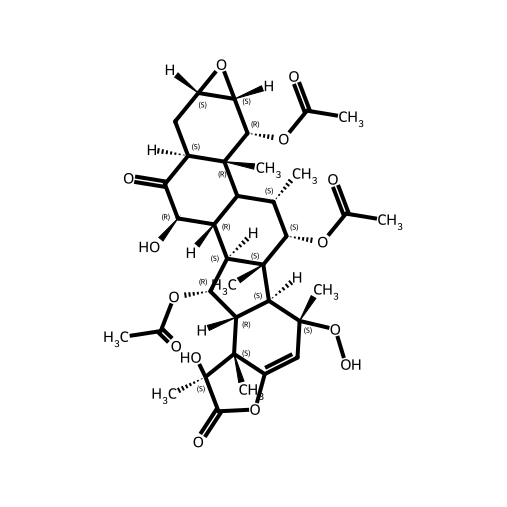 CC(=O)O[C@@H]1[C@H]2[C@H]3C([C@H](C)[C@H](OC(C)=O)[C@]2(C)[C@@H]2[C@@H]1[C@]1(C)C(=C[C@@]2(C)OO)OC(=O)[C@@]1(C)O)[C@]1(C)[C@H](C[C@@H]2O[C@@H]2[C@@H]1OC(C)=O)C(=O)[C@@H]3O